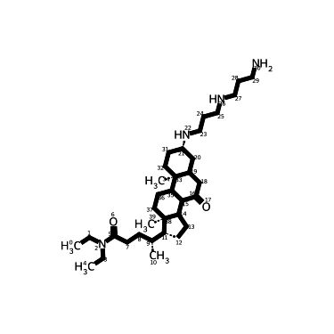 CCN(CC)C(=O)CC[C@@H](C)[C@H]1CCC2C3C(=O)CC4C[C@@H](NCCCNCCCN)CC[C@]4(C)C3CC[C@@]21C